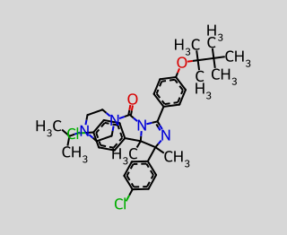 CC(C)N1CCN(C(=O)N2C(c3ccc(OC(C)(C)C(C)(C)C)cc3)=NC(C)(c3ccc(Cl)cc3)C2(C)c2ccc(Cl)cc2)CC1